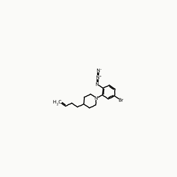 C=CCCC1CCN(c2cc(Br)ccc2N=[N+]=[N-])CC1